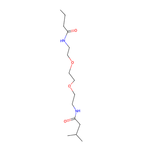 CCCC(=O)NCCOCCOCCNC(=O)CC(C)C